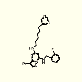 CC(C)c1cnn2c(NCc3ccccc3F)cc(NCCCCCCc3cncnc3)nc12